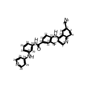 N#Cc1ccc2nccc(Nc3ccc(C(=O)Nc4cccc(Nc5ccncc5)c4)cc3F)c2c1